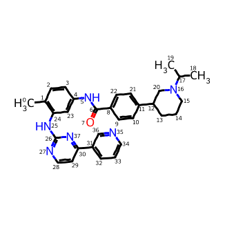 Cc1ccc(NC(=O)c2ccc(C3CCCN(C(C)C)C3)cc2)cc1Nc1nccc(-c2cccnc2)n1